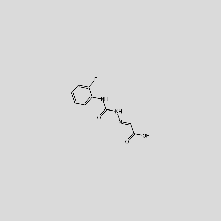 O=C(O)C=NNC(=O)Nc1ccccc1F